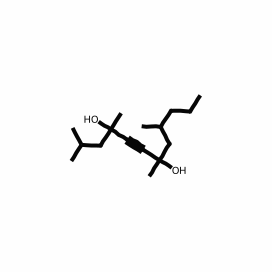 CCCC(C)CC(C)(O)C#CC(C)(O)CC(C)C